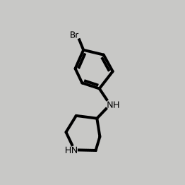 Brc1ccc(NC2CCNCC2)cc1